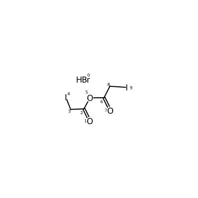 Br.O=C(CI)OC(=O)CI